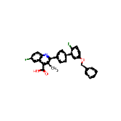 Cc1c(-c2ccc(-c3cc(OCc4ccccc4)ccc3F)cc2)nc2ccc(F)cc2c1C(=O)O